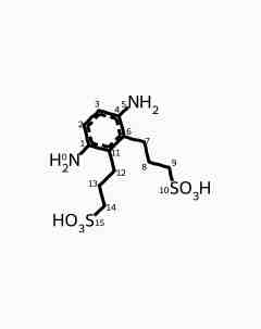 Nc1ccc(N)c(CCCS(=O)(=O)O)c1CCCS(=O)(=O)O